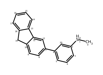 C[SiH2]c1cccc(-c2ccc3c(c2)-c2ccccc2C3)c1